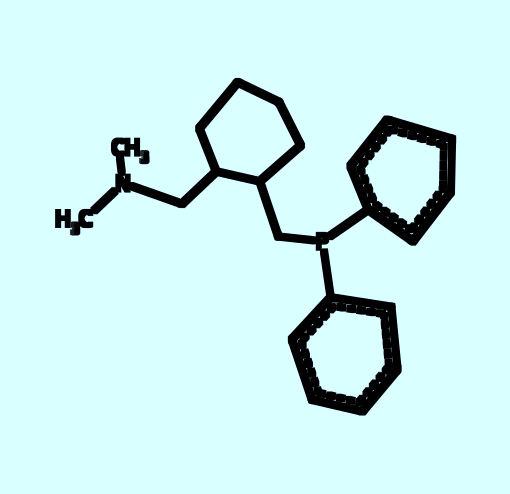 CN(C)CC1CCCCC1CP(c1ccccc1)c1ccccc1